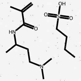 C=C(C)C(=O)NC(C)CCN(C)C.CCCCS(=O)(=O)O